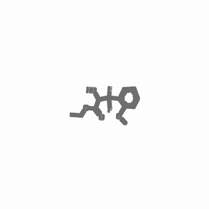 CCOC(=O)C(O)C(F)(F)c1ccccc1OC